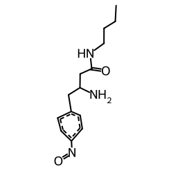 CCCCNC(=O)CC(N)Cc1ccc(N=O)cc1